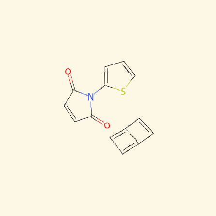 O=C1C=CC(=O)N1c1cccs1.c1cc2ccc1-2